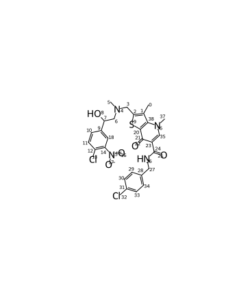 Cc1c(CN(C)CC(O)c2ccc(Cl)c([N+](=O)[O-])c2)sc2c(=O)c(C(=O)NCc3ccc(Cl)cc3)cn(C)c12